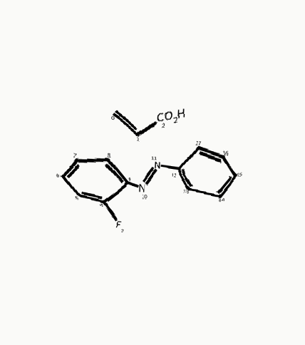 C=CC(=O)O.Fc1ccccc1N=Nc1ccccc1